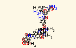 CCc1c2c(nc3ccc(OC(=O)N(C)CCN(C)C(=O)OCc4ccc(NC(=O)[C@H](CCCNC(N)=O)NC(=O)[C@@H](N)C(C)C)cc4)c(CN(C)C)c13)-c1cc3c(c(=O)n1C2)COC(=O)[C@]3(O)CC